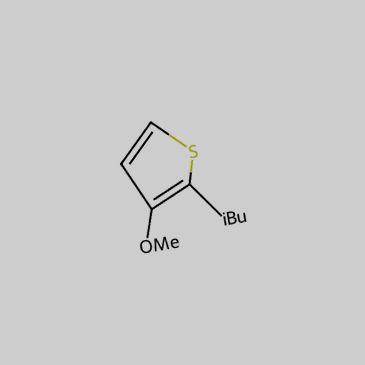 CCC(C)c1sccc1OC